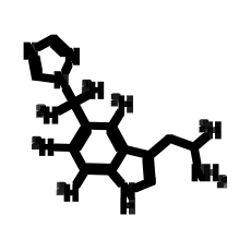 [2H]c1c(C([2H])([2H])n2cncn2)c([2H])c2c(CC([2H])N)c[nH]c2c1[2H]